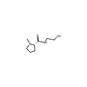 CN1CCC[C@H]1C(=O)NCCO